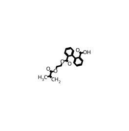 C=C(C)C(=O)OCCOC(=O)c1ccccc1-c1ccccc1C(=O)O